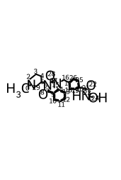 CN1CCCC(n2c(=O)c3ccccc3n(Cc3ccc(C(=O)NO)cc3)c2=O)C1